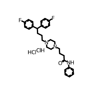 Cl.Cl.O=C(CCCN1CCN(CCCC(c2ccc(F)cc2)c2ccc(F)cc2)CC1)Nc1ccccc1